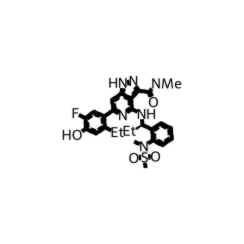 CCc1cc(O)c(F)cc1-c1cc2[nH]nc(C(=O)NC)c2c(N[C@H](CC)c2ccccc2N(C)S(C)(=O)=O)n1